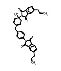 C=CCC1=CC2CC1C1C(=O)N(c3ccc(CC4=CCC(C)(N5C(=O)C6C7C=C(CC=C)C(C7)C6C5=O)C=C4)cc3)C(=O)C21